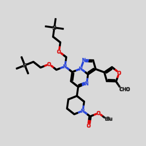 CC(C)(C)OC(=O)N1CCCC(c2cc(N(COCC[Si](C)(C)C)COCC[Si](C)(C)C)n3ncc(-c4coc(C=O)c4)c3n2)C1